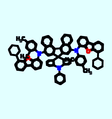 Cc1ccc(N(c2cc3c(c4ccccc24)-c2c(cc(N(c4ccc(C)cc4C)c4cccc5c4oc4c(C6CCCCC6)cccc45)c4ccccc24)C32c3ccccc3N(c3ccccc3)c3ccccc32)c2cccc3c2oc2c(C4CCCCC4)cccc23)c(C)c1